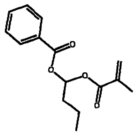 C=C(C)C(=O)OC(CCC)OC(=O)c1ccccc1